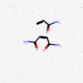 C=CC(N)=O.NC(=O)/C=C\C(N)=O